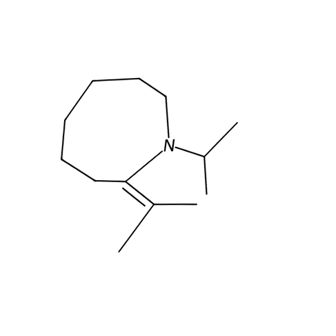 CC(C)=C1CCCCCCN1C(C)C